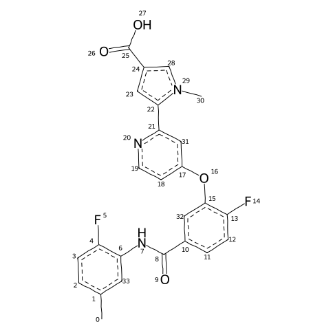 Cc1ccc(F)c(NC(=O)c2ccc(F)c(Oc3ccnc(-c4cc(C(=O)O)cn4C)c3)c2)c1